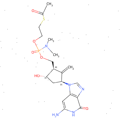 C=C1[C@H](COP(=O)(OCCSC(C)=O)N(C)C)[C@@H](O)C[C@@H]1n1cnc2c(=O)[nH]c(N)cc21